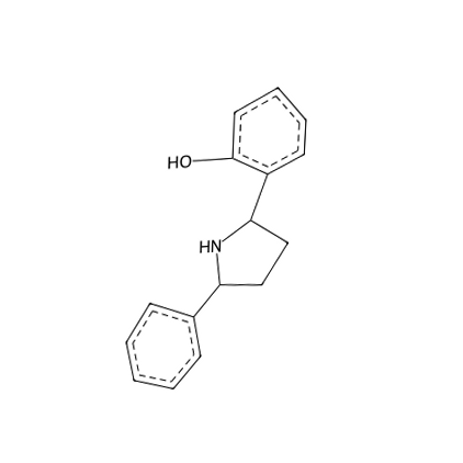 Oc1ccccc1C1CCC(c2ccccc2)N1